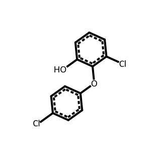 Oc1cccc(Cl)c1Oc1ccc(Cl)cc1